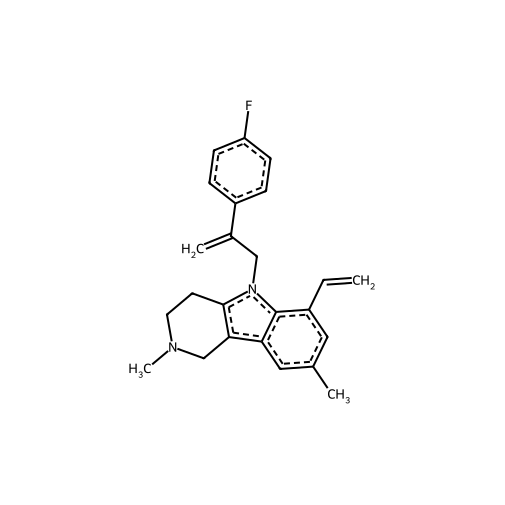 C=Cc1cc(C)cc2c3c(n(CC(=C)c4ccc(F)cc4)c12)CCN(C)C3